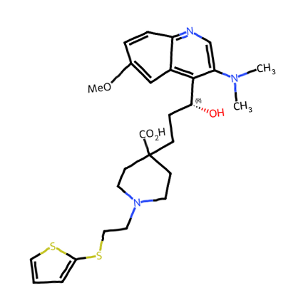 COc1ccc2ncc(N(C)C)c([C@H](O)CCC3(C(=O)O)CCN(CCSc4cccs4)CC3)c2c1